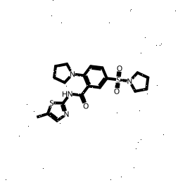 Cc1cnc(NC(=O)c2cc(S(=O)(=O)N3CCCC3)ccc2N2CCCC2)s1